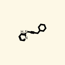 C(#C[SiH2]c1ccccn1)CC1CCCCC1